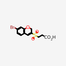 O=C(O)CCS(=O)(=O)C1=Cc2ccc(Br)cc2OC1